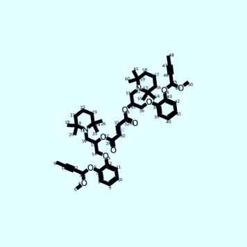 CC#CC(OC)Oc1ccccc1OCC(CN1C(C)(C)CCCC1(C)C)OC(=O)/C=C/C(=O)OC(COc1ccccc1OC(C#CC)OC)CN1C(C)(C)CCCC1(C)C